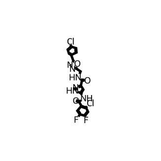 O=C(NCc1nnc(-c2ccc(Cl)cc2)o1)c1cc(NC(=O)c2cc(F)c(F)cc2Cl)[nH]n1